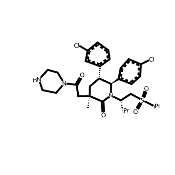 CC(C)[C@@H](CS(=O)(=O)C(C)C)N1C(=O)[C@@](C)(CC(=O)N2CCNCC2)C[C@H](c2cccc(Cl)c2)[C@H]1c1ccc(Cl)cc1